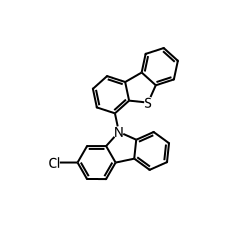 Clc1ccc2c3ccccc3n(-c3cccc4c3sc3ccccc34)c2c1